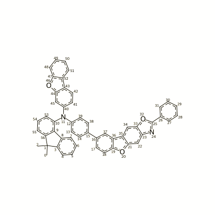 CC1(C)c2ccccc2-c2c(N(c3ccc(-c4ccc5oc6cc7nc(-c8ccccc8)oc7cc6c5c4)cc3)c3ccc4c(c3)oc3ccccc34)cccc21